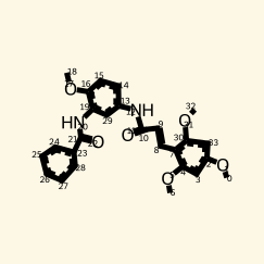 COc1cc(OC)c(/C=C/C(=O)Nc2ccc(OC)c(NC(=O)c3ccccc3)c2)c(OC)c1